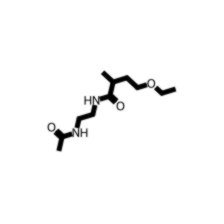 CCOCCC(C)C(=O)NCCNC(C)=O